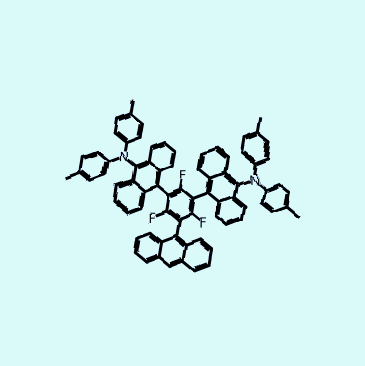 Cc1ccc(N(c2ccc(C)cc2)c2c3ccccc3c(-c3c(F)c(-c4c5ccccc5cc5ccccc45)c(F)c(-c4c5ccccc5c(N(c5ccc(C)cc5)c5ccc(C)cc5)c5ccccc45)c3F)c3ccccc23)cc1